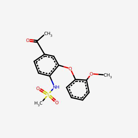 COc1ccccc1Oc1cc(C(C)=O)ccc1NS(C)(=O)=O